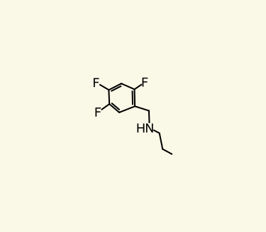 CCCNCc1cc(F)c(F)cc1F